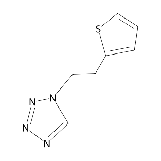 c1csc(CCn2cnnn2)c1